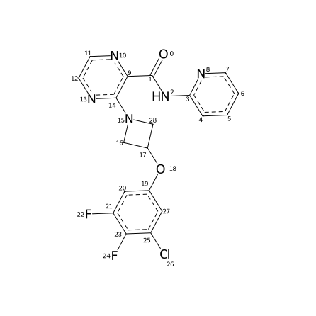 O=C(Nc1ccccn1)c1nccnc1N1CC(Oc2cc(F)c(F)c(Cl)c2)C1